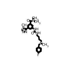 CN(CCCCNC(=O)Nc1cc(C(=O)N(C)C)cc(-c2nnnn2C)c1)Cc1ccc(F)cc1